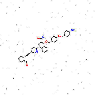 CN(C)C(=O)c1cc(-c2ccc(C#Cc3ccccc3C=O)cn2)c2ccccc2c1OCc1ccc(OCc2ccc(N)cc2)cc1